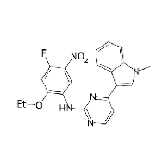 CCOc1cc(F)c([N+](=O)[O-])cc1Nc1nccc(-c2cn(C)c3ccccc23)n1